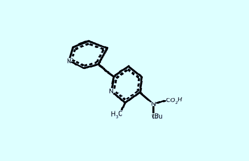 Cc1nc(-c2cccnc2)ccc1N(C(=O)O)C(C)(C)C